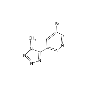 Cn1nnnc1-c1cncc(Br)c1